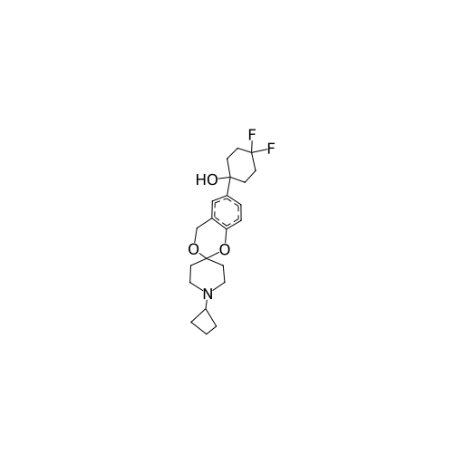 OC1(c2ccc3c(c2)COC2(CCN(C4CCC4)CC2)O3)CCC(F)(F)CC1